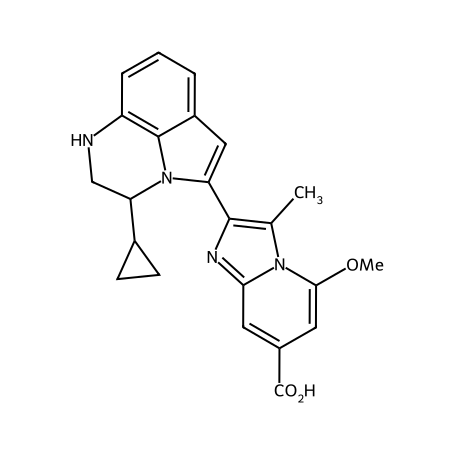 COc1cc(C(=O)O)cc2nc(-c3cc4cccc5c4n3C(C3CC3)CN5)c(C)n12